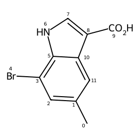 Cc1cc(Br)c2[nH]cc(C(=O)O)c2c1